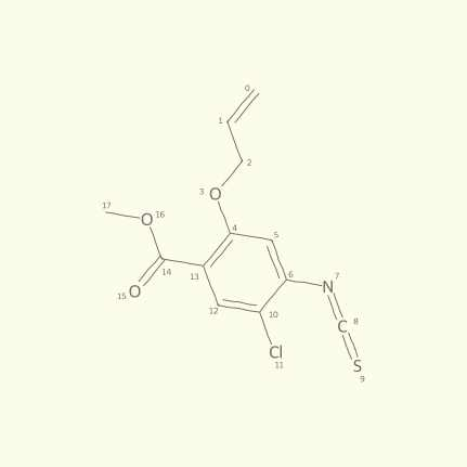 C=CCOc1cc(N=C=S)c(Cl)cc1C(=O)OC